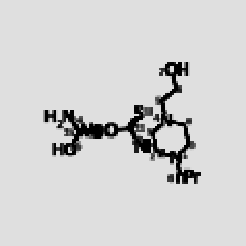 CCCN1CCN(CCO)CC1.COC(N)=S.NC(O)=S